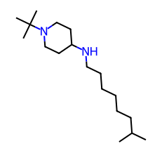 CC(C)CCCCCCNC1CCN(C(C)(C)C)CC1